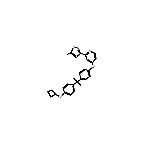 Cc1nc(-c2cc(Oc3ccc(C(C)(C)c4ccc(OC5CCC5)cc4)cc3)ccn2)no1